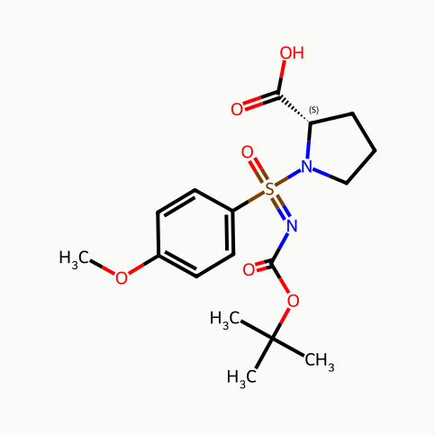 COc1ccc(S(=O)(=NC(=O)OC(C)(C)C)N2CCC[C@H]2C(=O)O)cc1